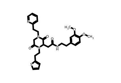 COc1ccc(CCNC(=O)CC2C(=O)N(CCc3ccccn3)CC(=O)N2CCc2cccs2)cc1OC